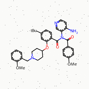 COc1ccc(C(=O)N(C(=O)c2ccc(C(C)(C)C)cc2OC2CCN(Cc3ccccc3OC)CC2)c2cnccc2N)cc1